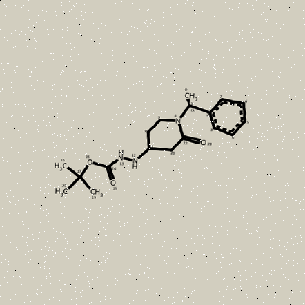 C[C@@H](c1ccccc1)N1CCC(NNC(=O)OC(C)(C)C)CC1=O